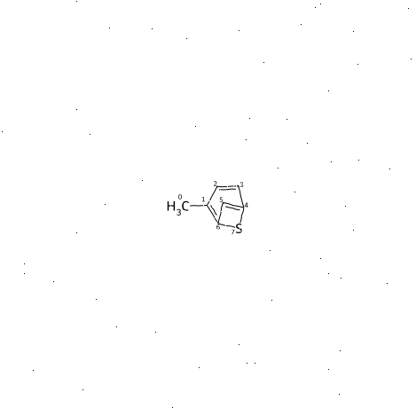 Cc1ccc2cc1S2